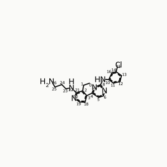 CCc1c(-c2ccnc(Nc3cccc(Cl)c3)n2)ccnc1NCCCN